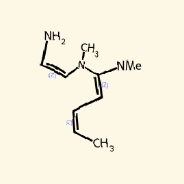 C/C=C\C=C(\NC)N(C)/C=C\N